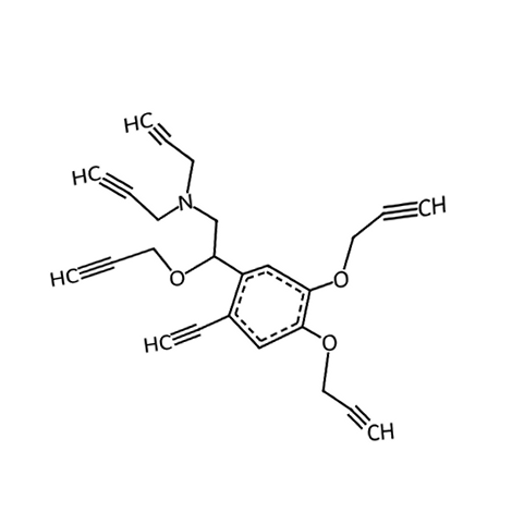 C#CCOc1cc(C#C)c(C(CN(CC#C)CC#C)OCC#C)cc1OCC#C